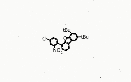 CC(C)(C)c1cc(C(C)(C)C)c2oc3c(-c4ccc(Cl)cc4[N+](=O)[O-])cccc3c2c1